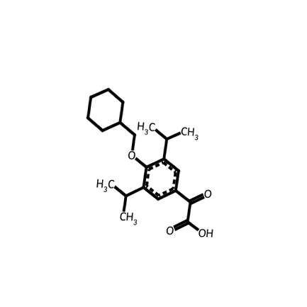 CC(C)c1cc(C(=O)C(=O)O)cc(C(C)C)c1OCC1CCCCC1